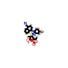 COC(=O)C(C)(Cc1oc(=O)oc1C)Sc1nc2cc(Br)ccc2n1-c1ccc(C#N)c2ccccc12